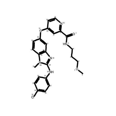 COCCCNC(=O)c1cc(Oc2ccc3c(c2)nc(Nc2ccc(Cl)cc2)n3C)ccn1